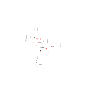 CCCCCCC(C(=O)OCC)C(C)C(=O)OC(C)(C)C